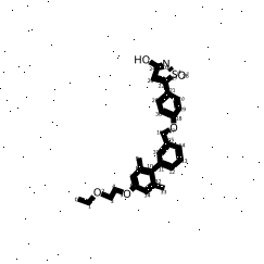 CCOCCOc1cc(C)c(-c2cccc(COc3ccc(-c4cc(O)n[s+]4[O-])cc3)c2)c(C)c1